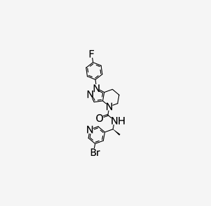 C[C@H](NC(=O)N1CCCc2c1cnn2-c1ccc(F)cc1)c1cncc(Br)c1